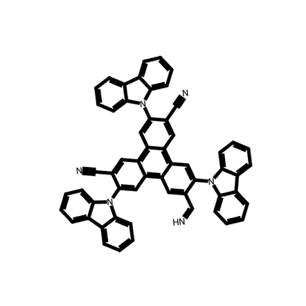 N#Cc1cc2c(cc1-n1c3ccccc3c3ccccc31)c1cc(C#N)c(-n3c4ccccc4c4ccccc43)cc1c1cc(C=N)c(-n3c4ccccc4c4ccccc43)cc21